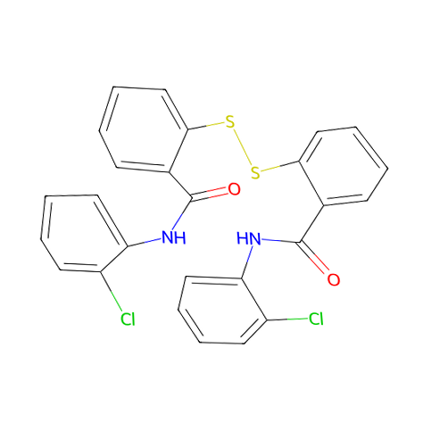 O=C(Nc1ccccc1Cl)c1ccccc1SSc1ccccc1C(=O)Nc1ccccc1Cl